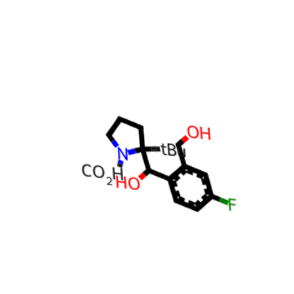 CC(C)(C)C1(C(O)c2ccc(F)cc2CO)CCCN1C(=O)O